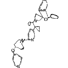 O=C1OC2(CCN(C(=O)C3(c4ccc(N5CCC(Oc6ccncc6)CC5)nc4)CC3)C2)c2ccccc21